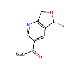 COC(=O)c1cnc2c(c1)[C@@H](C)OC2